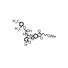 COCCCN1C(=O)c2cc3nc(-c4c(NC[C@@H](O)COc5ccc(C)cc5C)cc[nH]c4=O)[nH]c3cc2C1=O